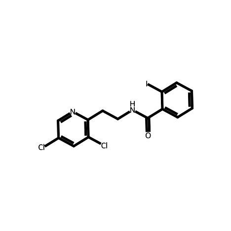 O=C(NCCc1ncc(Cl)cc1Cl)c1ccccc1I